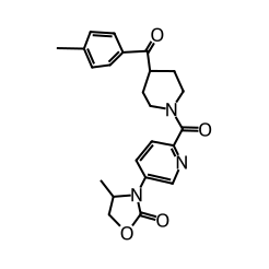 Cc1ccc(C(=O)C2CCN(C(=O)c3ccc(N4C(=O)OCC4C)cn3)CC2)cc1